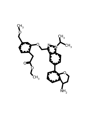 CCOC(=O)Cc1ccc(COC)cc1OCc1nn(C(C)C)c2ccc(-c3cccc4c3OCCC4N)cc12